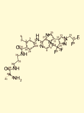 CCc1cc(Nc2nccn3c(-c4cn(CC(F)F)nc4C(F)(F)F)cnc23)ccc1C(=O)NCCCNC(=O)[C@@H](C)N